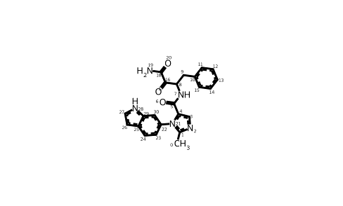 Cc1ncc(C(=O)NC(Cc2ccccc2)C(=O)C(N)=O)n1-c1ccc2cc[nH]c2c1